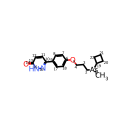 C[As](CCCOc1ccc(-c2ccc(=O)[nH]n2)cc1)C1CCC1